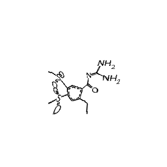 CCc1cc(S(C)(=O)=O)c(S(C)(=O)=O)cc1C(=O)N=C(N)N